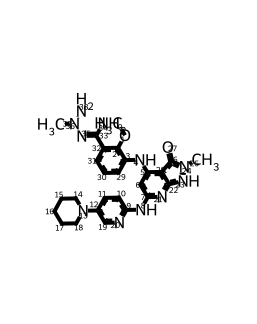 COc1c(Nc2cc(Nc3ccc(N4CCCCC4)cn3)nc3[nH]n(C)c(=O)c23)cccc1/C(N)=N/N(C)N